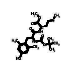 COC(=O)[C@@H](CCSC)NC(=O)C(Cc1c(C)cc(O)cc1C)NC(=O)OC(C)(C)C